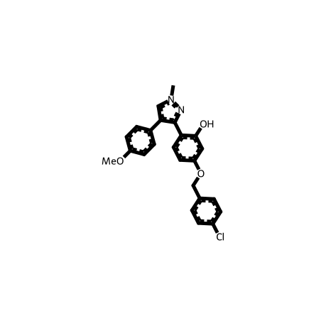 COc1ccc(-c2cn(C)nc2-c2ccc(OCc3ccc(Cl)cc3)cc2O)cc1